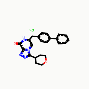 Cl.O=c1[nH]c(Cc2ccc(-c3ccccc3)cc2)cn2c(C3CCOCC3)nnc12